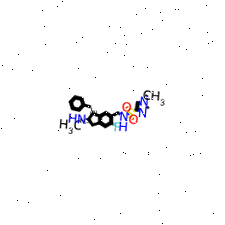 CN[C@H]1Cc2cc(F)c(CNS(=O)(=O)c3cn(C)cn3)cc2[C@H]1Cc1ccccc1